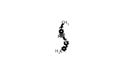 CCCCOc1ccc(S(=O)(=O)NCCCN2CCC(Cc3ccc(C)cc3)CC2)cc1